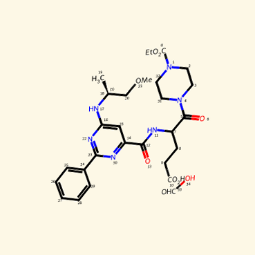 CCOC(=O)N1CCN(C(=O)C(CCC(=O)O)NC(=O)c2cc(N[C@@H](C)COC)nc(-c3ccccc3)n2)CC1.O=CO